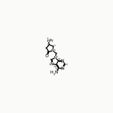 CCCC1CC(=O)N(Cn2cnc3c(N)ncnc32)C1